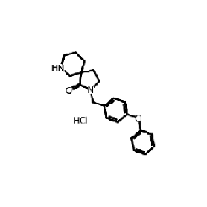 Cl.O=C1N(Cc2ccc(Oc3ccccc3)cc2)CCC12CCCNC2